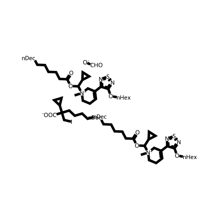 CCCCCCCCCCCCCCC(CI)(C(=O)[O-])C1CC1.CCCCCCCCCCCCCCCC(=O)OC(C1CC1)[N+]1(C)CCC=C(c2nsnc2OCCCCCC)C1.CCCCCCCCCCCCCCCC(=O)OC(C1CC1)[N+]1(C)CCC=C(c2nsnc2OCCCCCC)C1.O=C[O-]